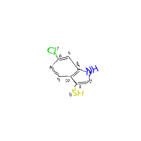 Sc1c[nH]c2cc(Cl)ccc12